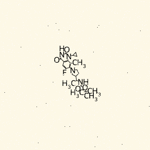 Cc1c(N2CCC([C@H](C)NC(=O)OC(C)(C)C)C2)c(F)cc2c(=O)[nH]c(=O)n(C3CC3)c12